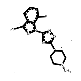 CC(C)c1nn(-c2noc(C3CCN(C)CC3)n2)c2c(F)cccc12